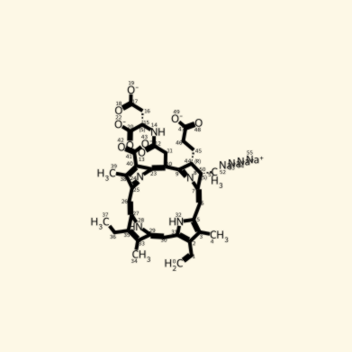 C=Cc1c(C)c2cc3nc(c(CC(=O)N[C@@H](CC(=O)[O-])C(=O)[O-])c4nc(cc5[nH]c(cc1[nH]2)c(C)c5CC)C(C)=C4C(=O)[O-])[C@H](CCC(=O)[O-])[C@@H]3C.[Na+].[Na+].[Na+].[Na+]